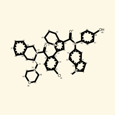 Cn1ccc2cc(N(C(=O)c3cc(-c4cc(Cl)ccc4C(=O)N4Cc5ccccc5C[C@H]4CN4CCOCC4)n4c3CCCC4)c3ccc(O)cc3)ccc21